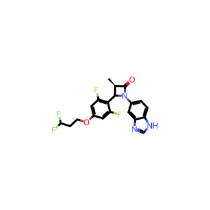 C[C@H]1C(=O)N(c2ccc3[nH]cnc3c2)C1c1c(F)cc(OCCC(F)F)cc1F